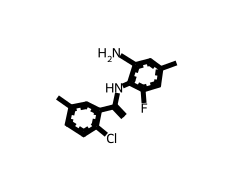 C=C(Nc1c(N)cc(C)cc1F)c1cc(C)ccc1Cl